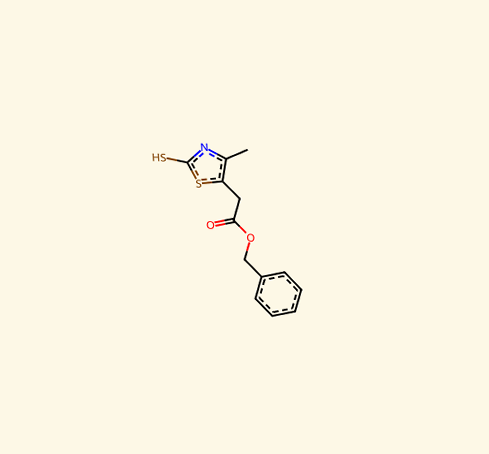 Cc1nc(S)sc1CC(=O)OCc1ccccc1